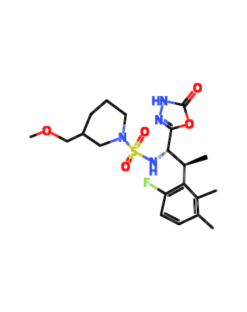 COCC1CCCN(S(=O)(=O)N[C@H](c2n[nH]c(=O)o2)[C@@H](C)c2c(F)ccc(C)c2C)C1